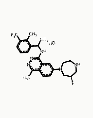 Cc1c(C(C)Nc2nnc(C)c3ccc(N4CCNC[C@@H](F)C4)cc23)cccc1C(F)(F)F.Cl